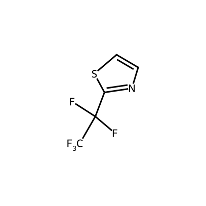 FC(F)(F)C(F)(F)c1nccs1